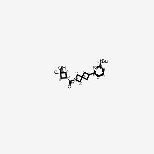 CC(C)(C)c1cccc(C2CC3(C2)CN(C(=O)[C@H]2C[C@@](C)(O)C2)C3)n1